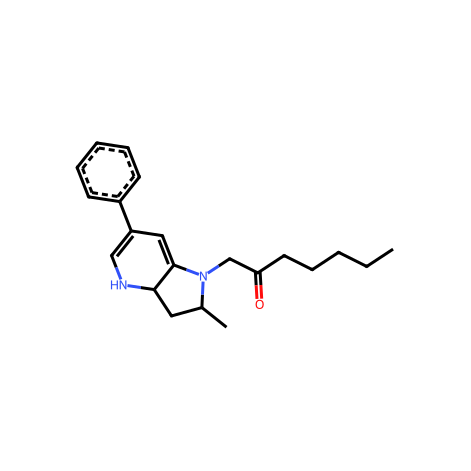 CCCCCC(=O)CN1C2=CC(c3ccccc3)=CNC2CC1C